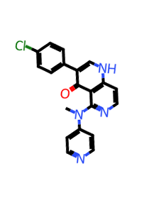 CN(c1ccncc1)c1nccc2[nH]cc(-c3ccc(Cl)cc3)c(=O)c12